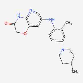 Cc1cc(N2CCC(C)CC2)ccc1Nc1cnc2c(c1)OCC(=O)N2